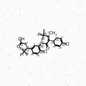 C[C@H]([C@H](C(=O)Nc1cc([C@H](CC(=O)O)C(F)(F)F)ccc1Cl)C1C=CC(Cl)=CC1)C(F)(F)F